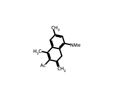 C=C1Cc2c(NC)cc(C)cc2C(C)=C1C(C)=O